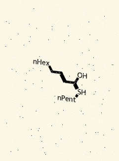 CCCCCCC/C=C/C(O)=[SH]\CCCCC